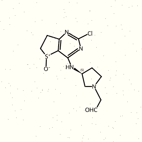 O=CCN1CC[C@H](Nc2nc(Cl)nc3c2[S+]([O-])CC3)C1